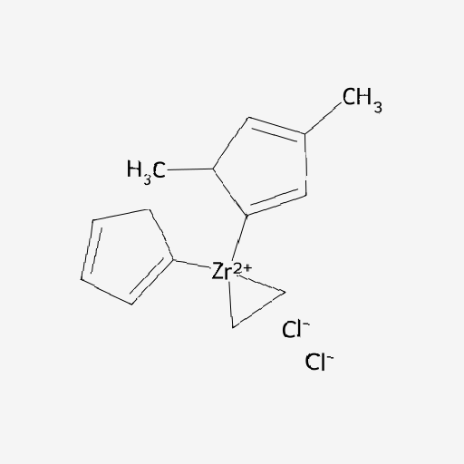 CC1=CC(C)[C]([Zr+2]2([C]3=CC=CC3)[CH2][CH2]2)=C1.[Cl-].[Cl-]